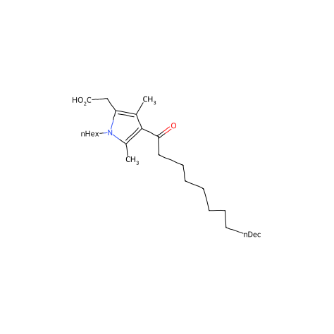 CCCCCCCCCCCCCCCCCC(=O)c1c(C)c(CC(=O)O)n(CCCCCC)c1C